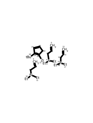 C=CCN(CC)CC.C=CCN(CC)CC.C=CCN(CC)CC.CC(C)(C)C1=[C]([Zr])CC=C1